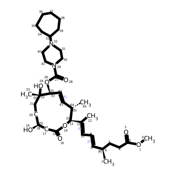 COC(=O)CC[C@@H](C)/C=C/C=C(\C)[C@H]1OC(=O)C[C@@H](O)CC[C@](C)(O)[C@@H](OC(=O)N2CCN(C3CCCCCC3)CC2)/C=C/[C@@H]1C